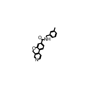 Cc1cccc(CNC(=O)c2ccc3c(c2)OCc2cnccc2-3)c1